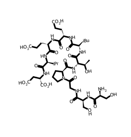 CC[C@H](C)[C@H](NC(=O)[C@@H](NC(=O)[C@@H]1CCCN1C(=O)CNC(=O)[C@H](CO)NC(=O)[C@@H](N)CO)[C@@H](C)O)C(=O)N[C@@H](CCC(=O)O)C(=O)N[C@@H](CCC(=O)O)C(=O)N[C@H](C(=O)N[C@@H](CC(=O)O)C(=O)O)C(C)C